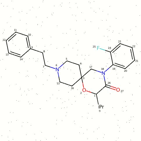 CC(C)C1OC2(CCN(CCc3ccccc3)CC2)CN(c2ccccc2F)C1=O